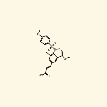 COC(=O)c1cc(/C=C/C(=O)O)cc(C)c1N(C)S(=O)(=O)c1ccc(OC)cc1